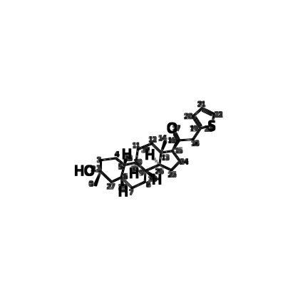 C[C@@]1(O)CC[C@H]2[C@H](CC[C@@H]3[C@@H]2CC[C@]2(C)[C@@H](C(=O)Cc4cccs4)CC[C@@H]32)C1